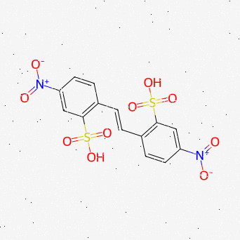 O=[N+]([O-])c1ccc(/C=C/c2ccc([N+](=O)[O-])cc2S(=O)(=O)O)c(S(=O)(=O)O)c1